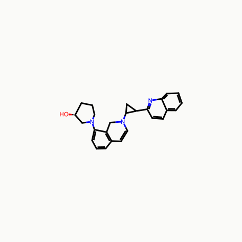 O[C@H]1CCCN(c2cccc3c2CN(C2CC2c2ccc4ccccc4n2)C=C3)C1